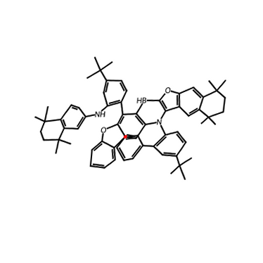 CC(C)(C)c1ccc(-c2c3c(cc4c2oc2ccccc24)N(c2ccc(C(C)(C)C)cc2-c2ccccc2)c2c(oc4cc5c(cc24)C(C)(C)CCC5(C)C)B3)c(Nc2ccc3c(c2)C(C)(C)CCC3(C)C)c1